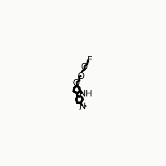 CN(C)c1ccc2c(c1)[nH]c1cc(OCCOCCOCCF)ccc12